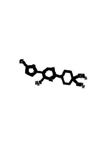 CC1(N)CCN(c2ncc(-c3ccc(Cl)s3)c(N)n2)CC1